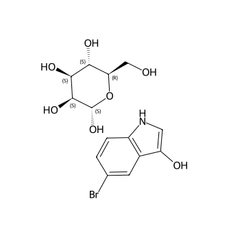 OC[C@H]1O[C@H](O)[C@@H](O)[C@@H](O)[C@@H]1O.Oc1c[nH]c2ccc(Br)cc12